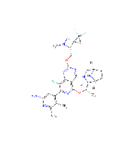 Cc1nc(N)cc(-c2nc3c4c(nc(OC[C@@H]5N(C)C[C@]56CC6(F)F)nc4c2F)N2C[C@H]4CC[C@H](N4)[C@H]2[C@H](C(F)(F)F)O3)c1C(F)(F)F